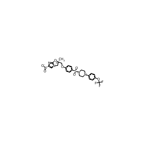 C[C@]1(COc2ccc(S(=O)(=O)N3CCN(c4ccc(OC(F)(F)F)cc4)CC3)cc2)Cn2cc([N+](=O)[O-])nc2O1